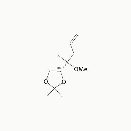 C=CCC(C)(OC)[C@H]1COC(C)(C)O1